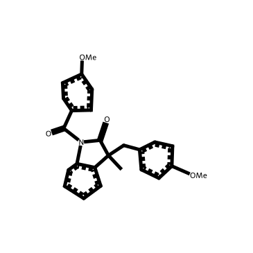 COc1ccc(CC2(C)C(=O)N(C(=O)c3ccc(OC)cc3)c3ccccc32)cc1